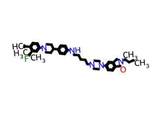 C#Cc1ccc(N2CCC(c3ccc(NCCCCCN4CCN(c5ccc6c(c5)CN(C(C)CCC)C6=O)CC4)cc3)CC2)cc1C(C)(C)F